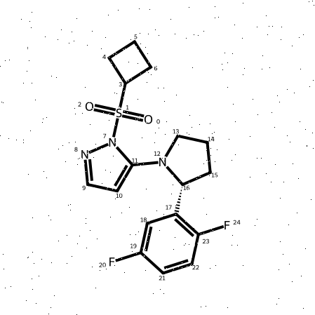 O=S(=O)(C1CCC1)n1nccc1N1CCC[C@@H]1c1cc(F)ccc1F